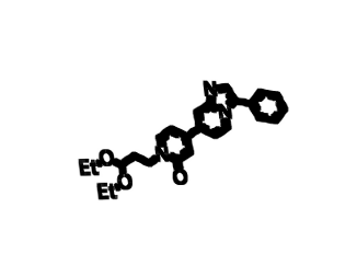 CCOC(CCn1ccc(-c2ccn3c(-c4ccccc4)cnc3c2)cc1=O)OCC